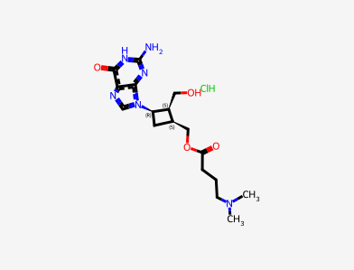 CN(C)CCCC(=O)OC[C@H]1C[C@@H](n2cnc3c(=O)[nH]c(N)nc32)[C@H]1CO.Cl